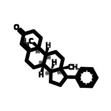 C[C@]12CCC(=O)C=C1CC[C@@H]1[C@H]2CC[C@]2(C)C(c3ccccc3)CC[C@@H]12